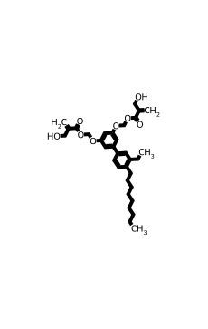 C=C(CO)C(=O)OCOc1cc(OCOC(=O)C(=C)CO)cc(-c2ccc(CCCCCCCCC)c(CC)c2)c1